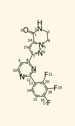 O=C1NCCn2nc(-c3ccnc(-c4ccc(F)c(F)c4F)n3)cc21